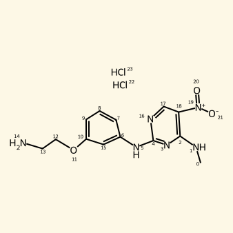 CNc1nc(Nc2cccc(OCCN)c2)ncc1[N+](=O)[O-].Cl.Cl